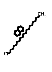 CCCCCCCCCCCCCCCCCCCCCl.c1ccc2ccccc2c1